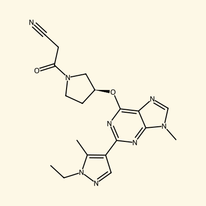 CCn1ncc(-c2nc(O[C@H]3CCN(C(=O)CC#N)C3)c3ncn(C)c3n2)c1C